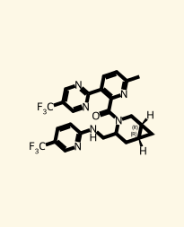 Cc1ccc(-c2ncc(C(F)(F)F)cn2)c(C(=O)N2C[C@@H]3C[C@@H]3CC2CNc2ccc(C(F)(F)F)cn2)n1